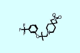 CC(C)(CN1CCC2(CC1)CS(=O)(=O)C2)Oc1cccc(C(F)(F)F)c1